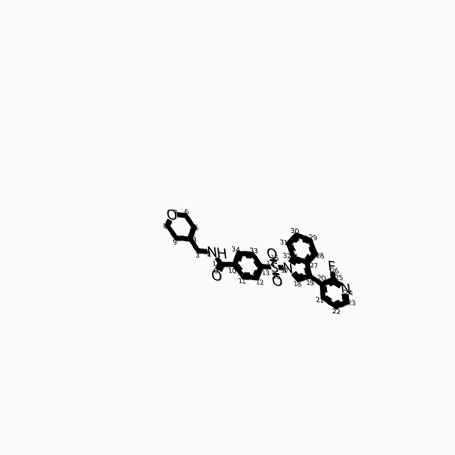 O=C(NCC1CCOCC1)c1ccc(S(=O)(=O)n2cc(-c3cccnc3F)c3ccccc32)cc1